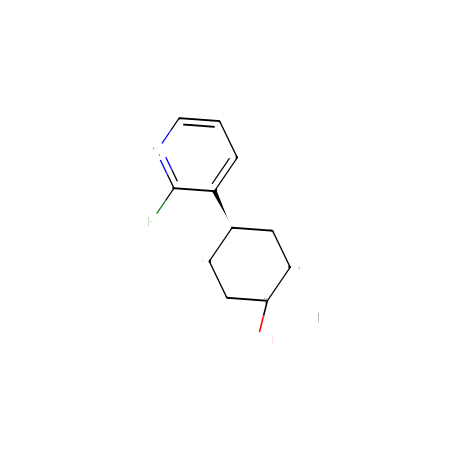 C[C@]1(O)CC[C@@H](c2cccnc2F)CC1